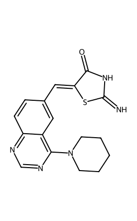 N=C1NC(=O)C(=Cc2ccc3ncnc(N4CCCCC4)c3c2)S1